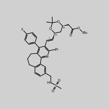 CC(C)c1nc2c(c(-c3ccc(F)cc3)c1/C=C/[C@@H]1C[C@H](CC(=O)OC(C)(C)C)OC(C)(C)O1)CCCc1ccc(CNS(C)(=O)=O)cc1-2